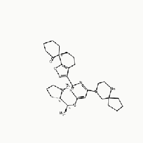 C[C@H](Oc1cc(N2CCNC3(CCCC3)C2)nc(-c2noc3c2CCC[C@@]32CCCCC2=O)n1)[C@@H]1CCCN1C